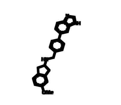 COc1ccc2c(c1)CC(NCc1ccc(-c3ccc4nc[nH]c4c3)cc1)C2